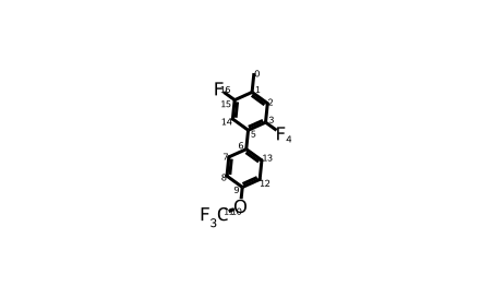 Cc1cc(F)c(-c2ccc(OC(F)(F)F)cc2)cc1F